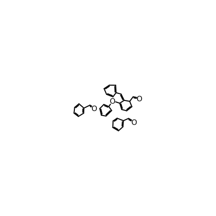 O=CC1C=CC=C(Oc2ccccc2)C1=Cc1ccccc1.O=Cc1ccccc1.O=Cc1ccccc1